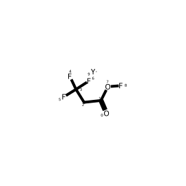 O=C(CC(F)(F)F)OF.[Y]